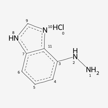 Cl.NNc1cccc2[nH]cnc12